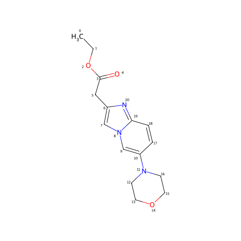 CCOC(=O)Cc1cn2cc(N3CCOCC3)ccc2n1